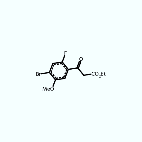 CCOC(=O)CC(=O)c1cc(OC)c(Br)cc1F